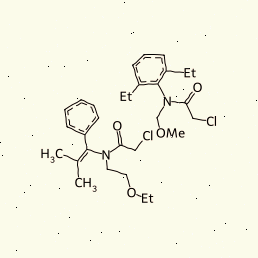 CCOCCN(C(=O)CCl)C(=C(C)C)c1ccccc1.CCc1cccc(CC)c1N(COC)C(=O)CCl